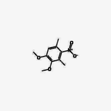 COc1cc(C)c([N+](=O)[O-])c(C)c1OC